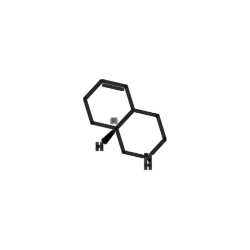 C1=CC2CCNC[C@@H]2CC1